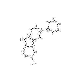 Clc1ccc2[nH]c3ccc(-c4ccccc4)cc3c2c1